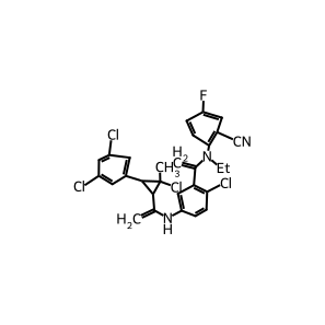 C=C(Nc1ccc(Cl)c(C(=C)N(CC)c2ccc(F)cc2C#N)c1)C1C(c2cc(Cl)cc(Cl)c2)C1(C)Cl